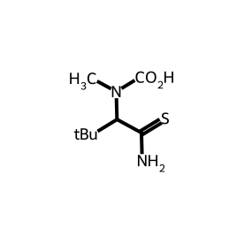 CN(C(=O)O)C(C(N)=S)C(C)(C)C